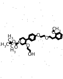 COc1ccccc1CCOCCOc1ccc(C2CCN(C(=O)OC(C)(C)C)CC2OCCO)cc1